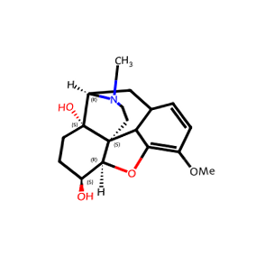 COC1=C2O[C@H]3[C@@H](O)CC[C@@]4(O)[C@H]5CC(C=C1)C2[C@@]34CCN5C